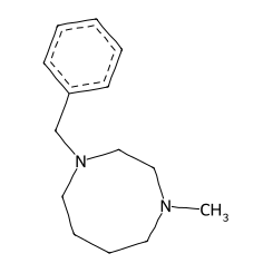 CN1CCCCN(Cc2ccccc2)CC1